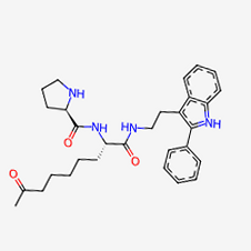 CC(=O)CCCCC[C@H](NC(=O)[C@H]1CCCN1)C(=O)NCCc1c(-c2ccccc2)[nH]c2ccccc12